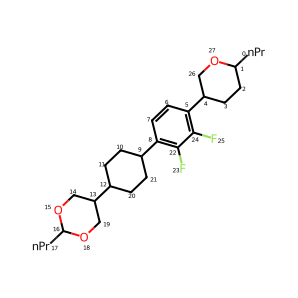 CCCC1CCC(c2ccc(C3CCC(C4COC(CCC)OC4)CC3)c(F)c2F)CO1